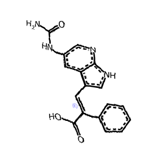 NC(=O)Nc1cnc2[nH]cc(/C=C(/C(=O)O)c3ccccc3)c2c1